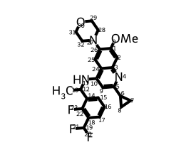 COc1cc2nc(C3CC3)cc(NC(C)c3cccc(C(F)F)c3F)c2cc1N1CCOCC1